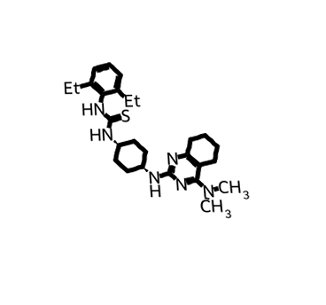 CCc1cccc(CC)c1NC(=S)N[C@H]1CC[C@@H](Nc2nc3c(c(N(C)C)n2)CCCC3)CC1